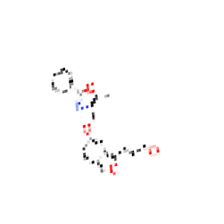 Cc1oc(-c2ccccc2)nc1COc1ccc2coc(C=CC=O)c2c1